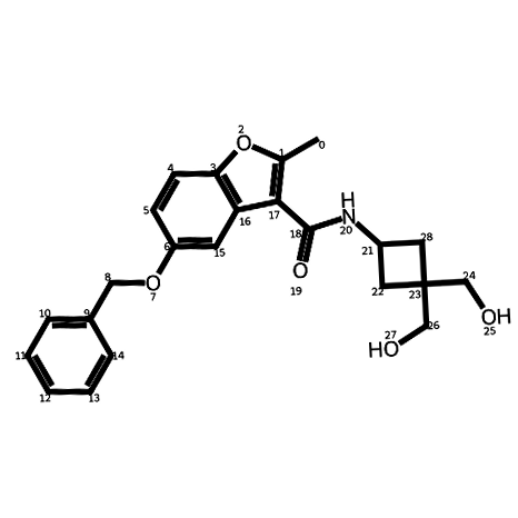 Cc1oc2ccc(OCc3ccccc3)cc2c1C(=O)NC1CC(CO)(CO)C1